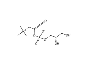 C[N+](C)(C)CC(=C=O)OP(=O)([O-])OC[C@H](O)CO